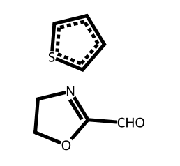 O=CC1=NCCO1.c1ccsc1